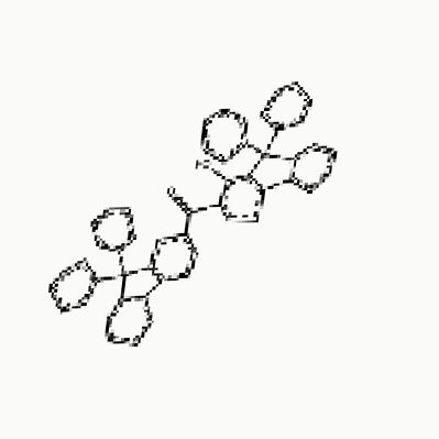 O=C(c1ccc2c(c1)C(c1ccccc1)(c1ccccc1)c1ccccc1-2)c1ccc2c(c1O)C(c1ccccc1)(c1ccccc1)c1ccccc1-2